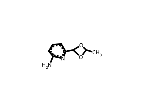 CC1OC(c2cccc(N)n2)O1